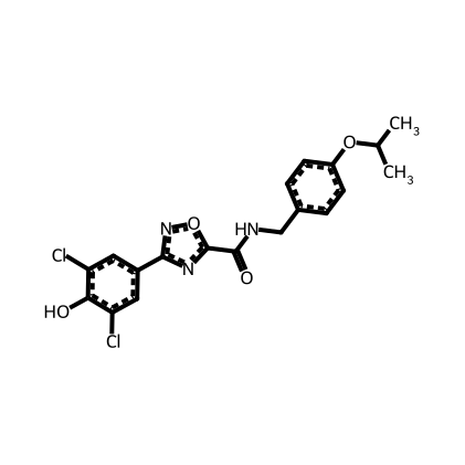 CC(C)Oc1ccc(CNC(=O)c2nc(-c3cc(Cl)c(O)c(Cl)c3)no2)cc1